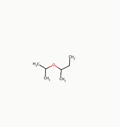 [CH2]CC(C)OC(C)C